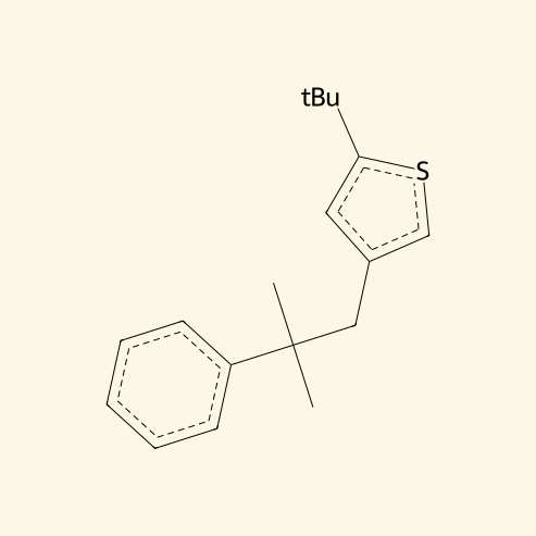 CC(C)(C)c1cc(CC(C)(C)c2ccccc2)cs1